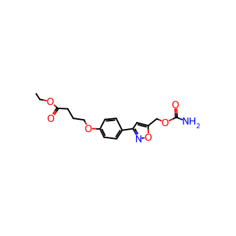 CCOC(=O)CCCOc1ccc(-c2cc(COC(N)=O)on2)cc1